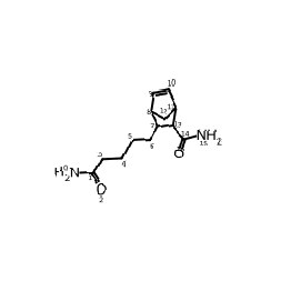 NC(=O)CCCCC1C2C=CC(C2)C1C(N)=O